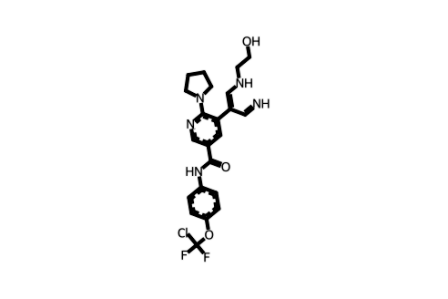 N=C/C(=C\NCCO)c1cc(C(=O)Nc2ccc(OC(F)(F)Cl)cc2)cnc1N1CCCC1